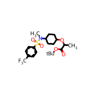 CC(OC1CCC(N(C)S(=O)(=O)c2ccc(C(F)(F)F)cc2)CC1)C(=O)OC(C)(C)C